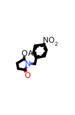 CC(=O)OC1CCC(=O)N1Cc1ccc([N+](=O)[O-])cc1